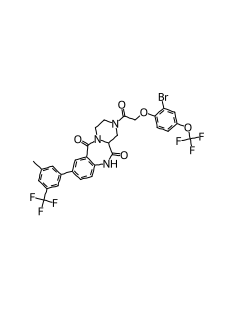 Cc1cc(-c2ccc3c(c2)C(=O)N2CCN(C(=O)COc4ccc(OC(F)(F)F)cc4Br)CC2C(=O)N3)cc(C(F)(F)F)c1